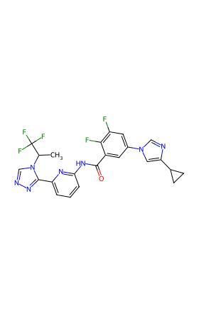 CC(n1cnnc1-c1cccc(NC(=O)c2cc(-n3cnc(C4CC4)c3)cc(F)c2F)n1)C(F)(F)F